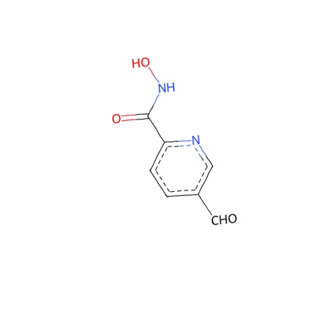 O=Cc1ccc(C(=O)NO)nc1